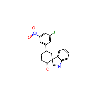 O=C1CCC(c2cc(F)cc([N+](=O)[O-])c2)CC12C=Nc1ccccc12